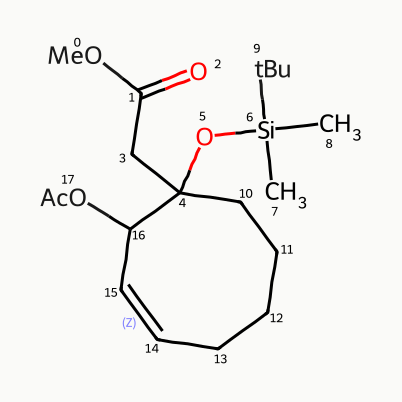 COC(=O)CC1(O[Si](C)(C)C(C)(C)C)CCCC/C=C\C1OC(C)=O